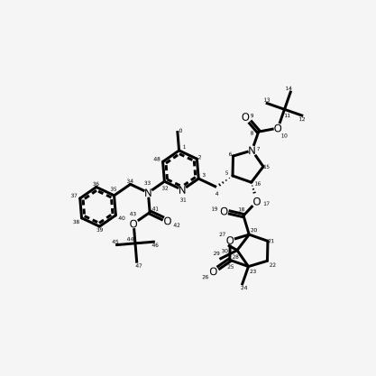 Cc1cc(C[C@@H]2CN(C(=O)OC(C)(C)C)C[C@@H]2OC(=O)C23CCC(C)(C(=O)O2)C3(C)C)nc(N(Cc2ccccc2)C(=O)OC(C)(C)C)c1